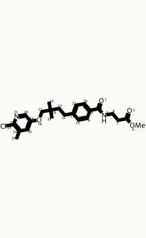 COC(=O)CCNC(=O)c1ccc(CCC(C)(C)COc2cnc(Cl)c(C)c2)cc1